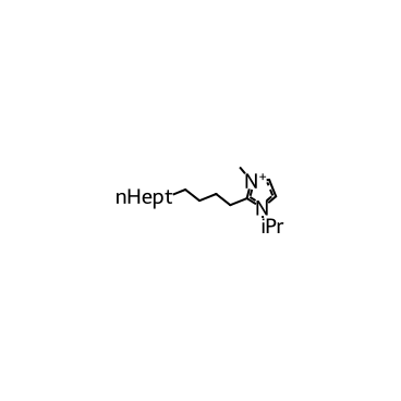 CCCCCCCCCCCc1n(C(C)C)cc[n+]1C